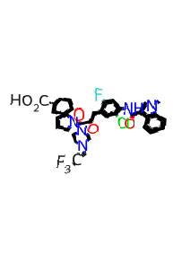 Cn1cc(C(=O)Nc2cc(F)c(CC(=O)C(O[C@H]3CC[C@H](C(=O)O)CC3)(N3CCCC3)N3CCN(CC(F)(F)F)CC3)cc2Cl)c2ccccc21